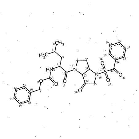 CC(C)CC(NC(=O)OCc1ccccc1)C(=O)N1CCC2C1C(=O)CN2S(=O)(=O)C(=O)c1cccnc1